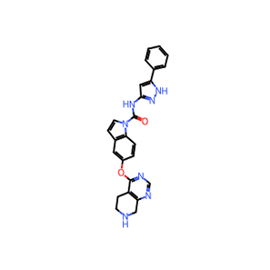 O=C(Nc1cc(-c2ccccc2)[nH]n1)n1ccc2cc(Oc3ncnc4c3CCNC4)ccc21